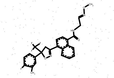 CO/N=C/CNC(=O)c1ccc(C2=NOC(c3ccc(F)c(C)c3)(C(F)(F)F)C2)c2ccccc12